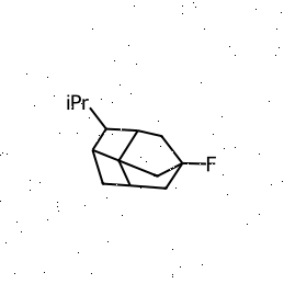 CC(C)C1C2CC3CC1CC(F)(C3)C2